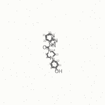 O=C(N1CCN(c2ccc(O)cc2)CC1)n1nnc2ncccc21